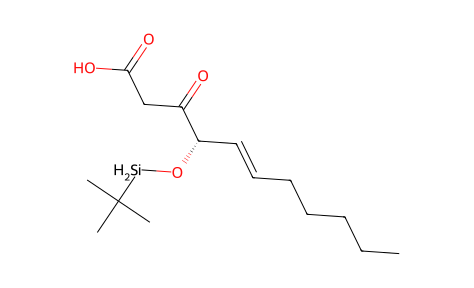 CCCCC/C=C/[C@H](O[SiH2]C(C)(C)C)C(=O)CC(=O)O